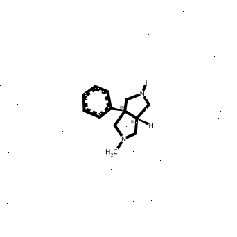 CN1C[C@H]2CN(I)C[C@@]2(c2ccccc2)C1